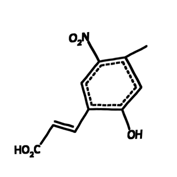 Cc1cc(O)c(C=CC(=O)O)cc1[N+](=O)[O-]